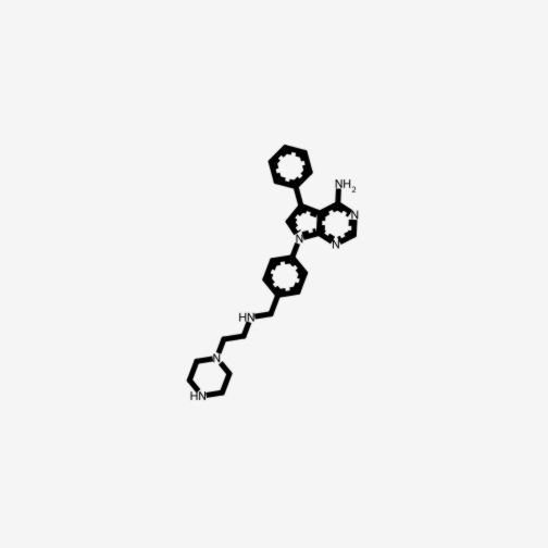 Nc1ncnc2c1c(-c1ccccc1)cn2-c1ccc(CNCCN2CCNCC2)cc1